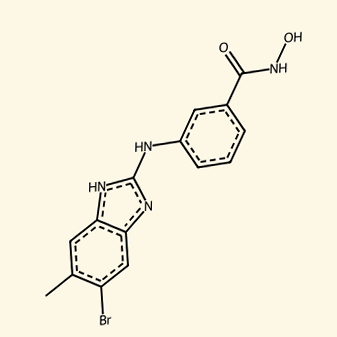 Cc1cc2[nH]c(Nc3cccc(C(=O)NO)c3)nc2cc1Br